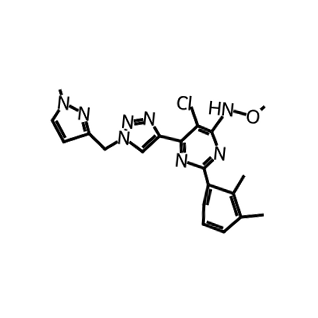 CONc1nc(-c2cccc(C)c2C)nc(-c2cn(Cc3ccn(C)n3)nn2)c1Cl